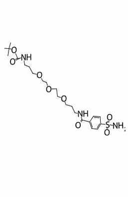 CC(C)(C)OC(=O)NCCCOCCOCCOCCCNC(=O)c1ccc(S(N)(=O)=O)cc1